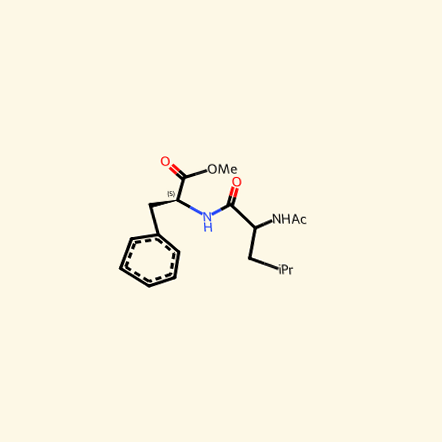 COC(=O)[C@H](Cc1ccccc1)NC(=O)C(CC(C)C)NC(C)=O